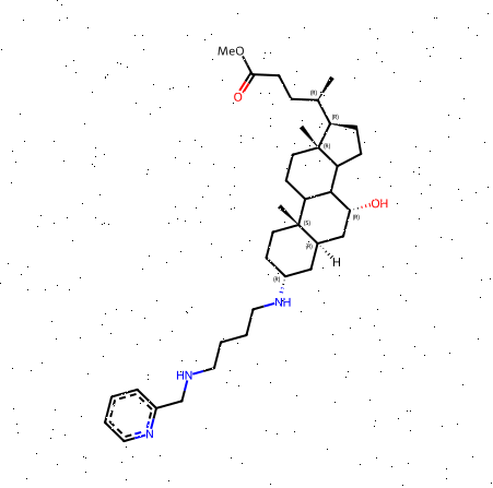 COC(=O)CC[C@@H](C)[C@H]1CCC2C3C(CC[C@@]21C)[C@@]1(C)CC[C@@H](NCCCCNCc2ccccn2)C[C@@H]1C[C@H]3O